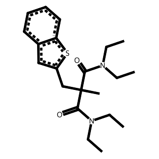 CCN(CC)C(=O)C(C)(Cc1cc2ccccc2s1)C(=O)N(CC)CC